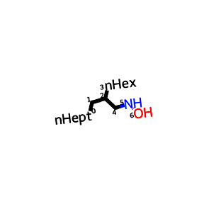 CCCCCCCCC(CCCCCC)CNO